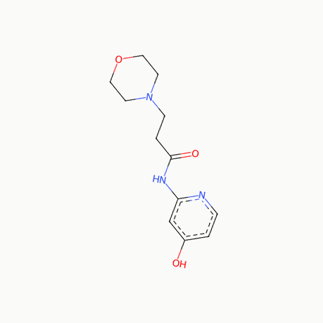 O=C(CCN1CCOCC1)Nc1cc(O)ccn1